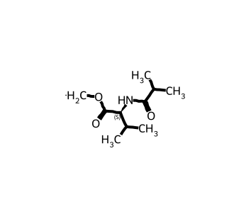 [CH2]OC(=O)[C@@H](NC(=O)C(C)C)C(C)C